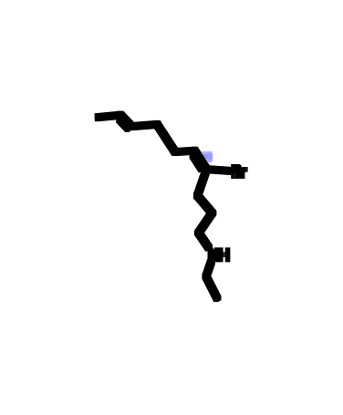 CC=CCC/C=C(/Br)CCCNCC